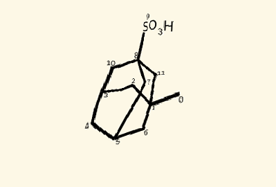 CC12CC3CC(C1)CC(S(=O)(=O)O)(C3)C2